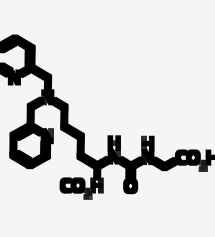 O=C(O)CNC(=O)NC(CCCCN(Cc1ccccn1)Cc1ccccn1)C(=O)O